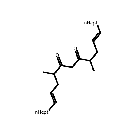 CCCCCCCC=CCC(C)C(=O)CC(=O)C(C)CC=CCCCCCCC